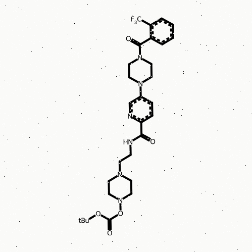 CC(C)(C)OC(=O)ON1CCN(CCNC(=O)c2ccc(N3CCN(C(=O)c4ccccc4C(F)(F)F)CC3)cn2)CC1